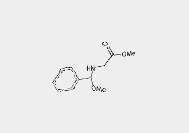 COC(=O)CNC(OC)c1ccccc1